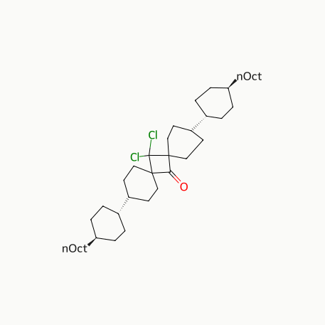 CCCCCCCC[C@H]1CC[C@H](C2CCC3(CC2)C(=O)C2(CCC([C@H]4CC[C@H](CCCCCCCC)CC4)CC2)C3(Cl)Cl)CC1